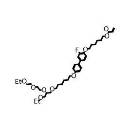 C=CC(=O)OCCCCCCOc1ccc(-c2ccc(OCCCCCCOCC(COCC)OCCOCCOCC)cc2)cc1F